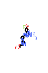 COc1cc2nc(N)n3nc([C@H]4CCCN(c5cnn(CC(C)(C)O)c5)C4)nc3c2cc1F